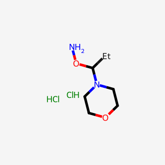 CCC(ON)N1CCOCC1.Cl.Cl